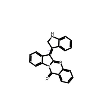 O=c1c2ccccc2nc2/c(=C3/CNc4ccccc43)c3ccccc3n12